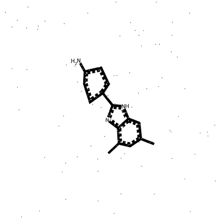 Cc1cc(C)c2nc(-c3ccc(N)cc3)[nH]c2c1